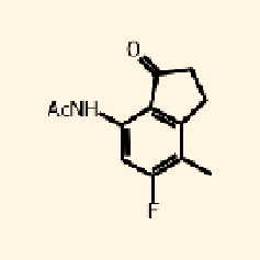 CC(=O)Nc1cc(F)c(C)c2c1C(=O)CC2